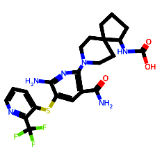 NC(=O)c1cc(Sc2cccnc2C(F)(F)F)c(N)nc1N1CCC2(CCCC2NC(=O)O)CC1